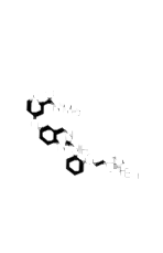 CNC(=O)c1cc(Oc2ccc3nc(Nc4ccccc4OCCO[Si](C)(C)C(C)(C)C)ncc3c2)ccn1